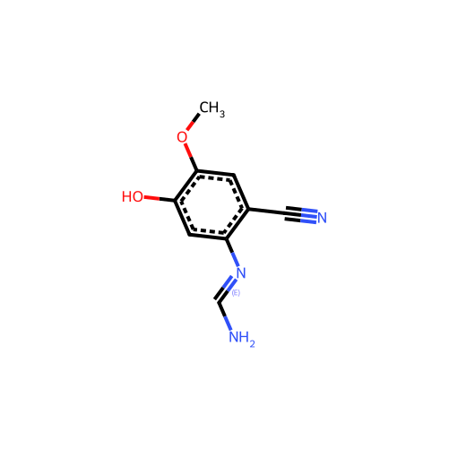 COc1cc(C#N)c(/N=C/N)cc1O